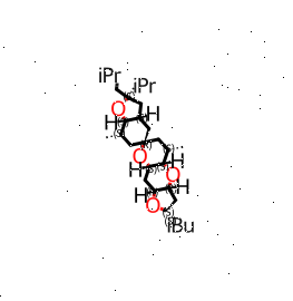 CC[C@H](C)[C@@H]1C[C@H]2O[C@@H]3[C@H](C[C@H]2O1)O[C@@]1(C[C@H]2C[C@@](CC(C)C)(C(C)C)O[C@H]2[C@@H](C)C1)C[C@@H]3C